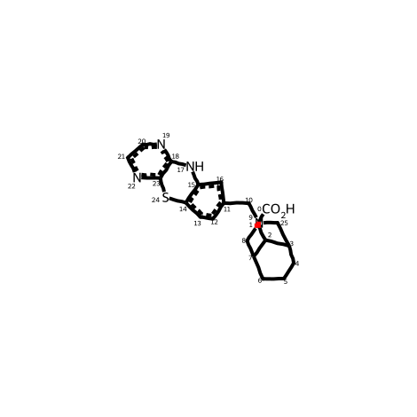 O=C(O)CC1C2CCCC1CN(Cc1ccc3c(c1)Nc1nccnc1S3)C2